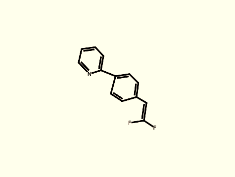 FC(F)=Cc1ccc(-c2ccccn2)cc1